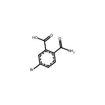 NC(=O)c1ccc(Br)cc1C(=O)O